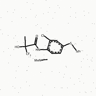 CCCSc1ccc(NC(=O)C(C)(O)C(F)(F)F)c(Cl)c1.CNC